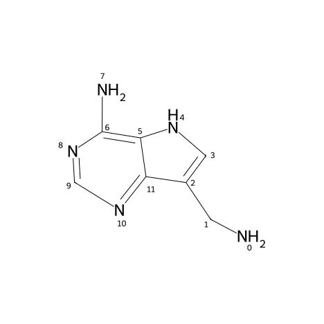 NCc1c[nH]c2c(N)ncnc12